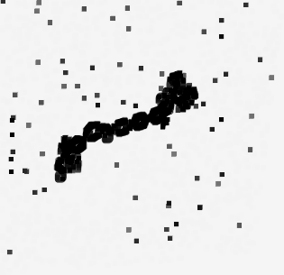 Cn1nc(N2CCC(=O)NC2=O)c2ccc(N3CCCN(CC(=O)N4CCN(c5ccc(-c6cc(F)c7c(c6)C(=O)N(C(C(=O)Nc6nccs6)c6ncn8c6CCC8)C7)cc5)CC4)CC3)cc21